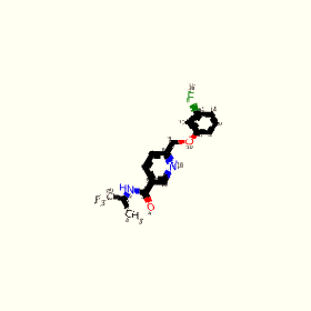 CC(NC(=O)c1ccc(COc2cccc(F)c2)nc1)C(F)(F)F